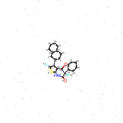 O=C1Nc2sc(F)c(-c3ccc4ccccc4c3)c2C(=O)C1(F)c1ccccc1